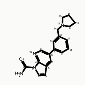 NC(=O)n1c[c]c2cc(-c3cccc(CN4CCCC4)c3)cnc21